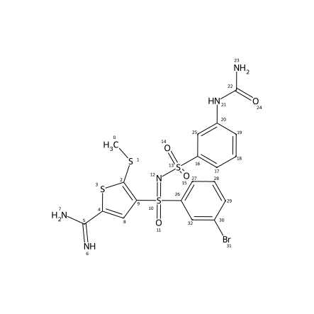 CSc1sc(C(=N)N)cc1S(=O)(=NS(=O)(=O)c1cccc(NC(N)=O)c1)c1cccc(Br)c1